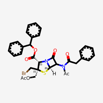 CC(=O)OC[C@@]1(CBr)S[C@@H]2C(N(C(C)=O)C(=O)Cc3ccccc3)C(=O)N2[C@H]1C(=O)OC(c1ccccc1)c1ccccc1